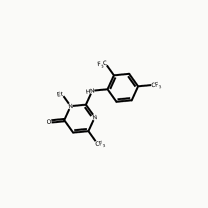 CCn1c(Nc2ccc(C(F)(F)F)cc2C(F)(F)F)nc(C(F)(F)F)cc1=O